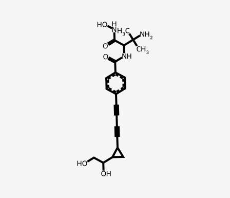 CC(C)(N)C(NC(=O)c1ccc(C#CC#CC2CC2C(O)CO)cc1)C(=O)NO